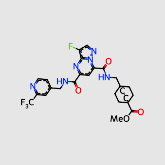 COC(=O)C12CCC(CNC(=O)c3cc(C(=O)NCc4ccnc(C(F)(F)F)c4)nc4c(F)cnn34)(CC1)CC2